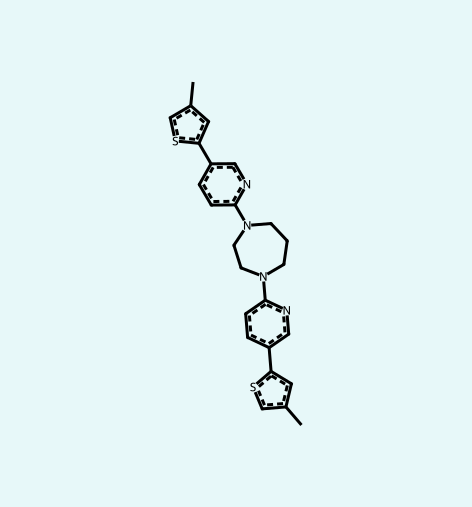 Cc1csc(-c2ccc(N3CCCN(c4ccc(-c5cc(C)cs5)cn4)CC3)nc2)c1